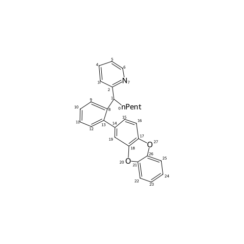 CCCCCC(c1[c]cccn1)c1ccccc1-c1ccc2c(c1)Oc1ccccc1O2